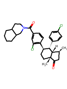 C[C@H]1CC(=O)[C@]2(C)CC[C@@H](c3ccc(C(=O)N4CCC5CCCCC5C4)cc3Cl)[C@H](c3ccc(Cl)cc3)[C@H]12